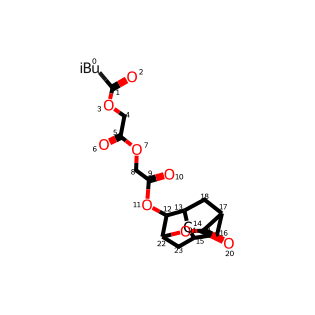 CCC(C)C(=O)OCC(=O)OCC(=O)OC1C2CC3CC(C2)C(=O)OC1C3